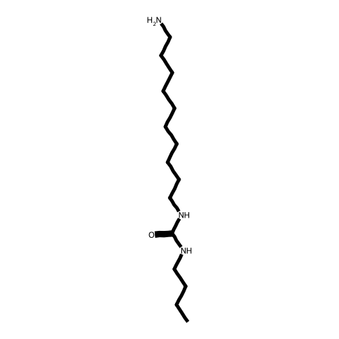 CCCCNC(=O)NCCCCCCCCCCN